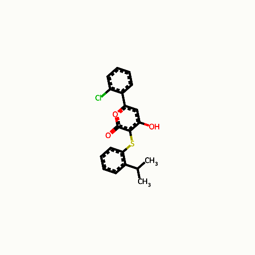 CC(C)c1ccccc1Sc1c(O)cc(-c2ccccc2Cl)oc1=O